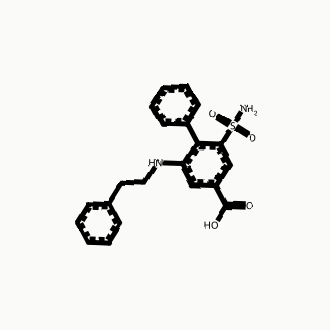 NS(=O)(=O)c1cc(C(=O)O)cc(NCCc2ccccc2)c1-c1ccccc1